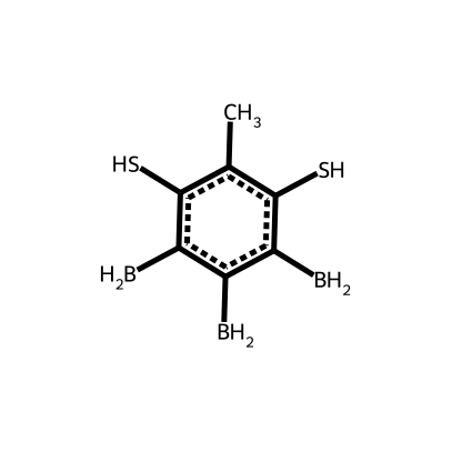 Bc1c(B)c(S)c(C)c(S)c1B